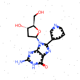 Nc1nc2c(nc(-c3cccnc3)n2[C@H]2C[C@H](O)[C@@H](CO)O2)c(=O)[nH]1